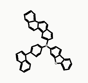 c1ccc2c(-c3ccc(N(c4ccc5c(c4)oc4ccccc45)c4ccc5ccc6c7ccccc7ccc6c5c4)cc3)cccc2c1